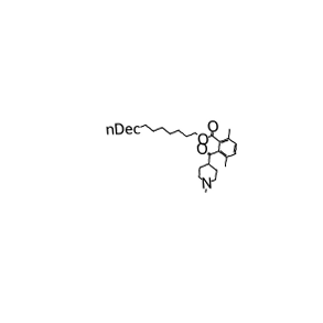 CCCCCCCCCCCCCCCCCOC(=O)c1c(C)ccc(C)c1C(=O)C1CCN(C)CC1